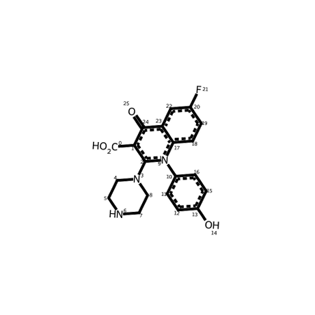 O=C(O)c1c(N2CCNCC2)n(-c2ccc(O)cc2)c2ccc(F)cc2c1=O